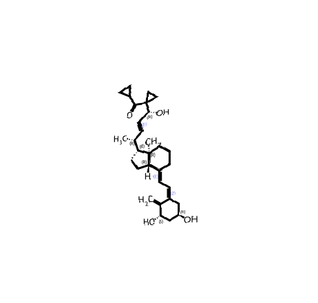 C=C1/C(=C\C=C2/CCC[C@]3(C)[C@@H]([C@H](C)/C=C/[C@@H](O)C4(C(=O)C5CC5)CC4)CC[C@@H]23)C[C@@H](O)C[C@@H]1O